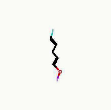 FC=CCC=COI